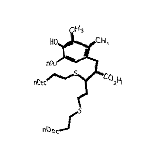 CCCCCCCCCCCCSCCC(SCCCCCCCCCCCC)C(Cc1cc(C(C)(C)C)c(O)c(C)c1C)C(=O)O